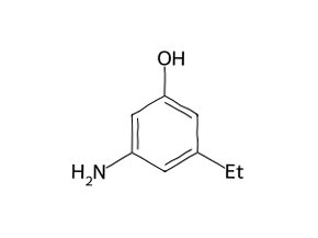 CCc1cc(N)cc(O)c1